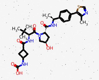 Cc1ncsc1-c1ccc([C@H](C)NC(=O)[C@@H]2C[C@@H](O)CN2C(=O)[C@@H](NC(=O)C2CC(NC(=O)O)C2)C(C)(C)C)cc1